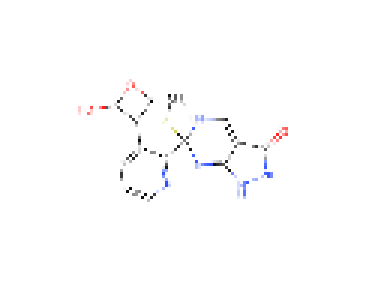 CSC1(c2ncccc2C2COC2O)N=c2[nH][nH]c(=O)c2=CN1